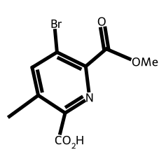 COC(=O)c1nc(C(=O)O)c(C)cc1Br